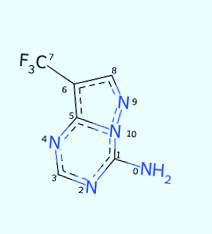 Nc1ncnc2c(C(F)(F)F)cnn12